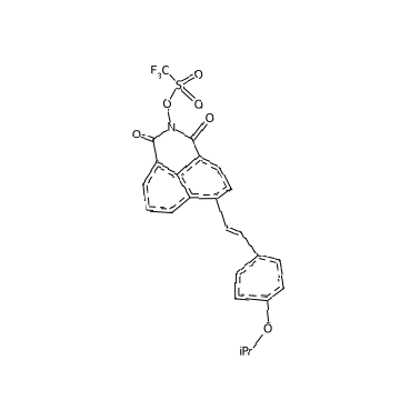 CC(C)Oc1ccc(C=Cc2ccc3c4c(cccc24)C(=O)N(OS(=O)(=O)C(F)(F)F)C3=O)cc1